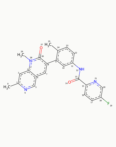 Cc1cc2c(cn1)cc(-c1cc(NC(=O)c3ccc(F)cn3)ccc1C)c(=O)n2C